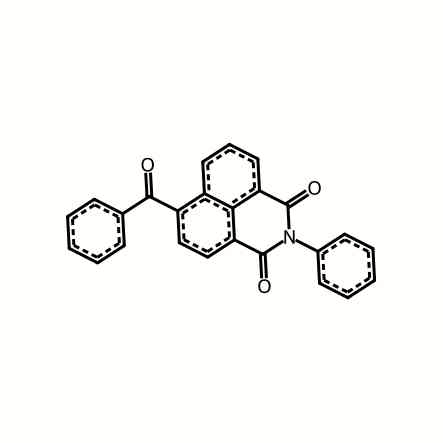 O=C(c1ccccc1)c1ccc2c3c(cccc13)C(=O)N(c1ccccc1)C2=O